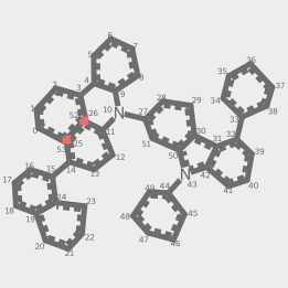 c1ccc(-c2ccccc2N(c2ccc(-c3cccc4ccccc34)cc2)c2ccc3c4c(-c5ccccc5)cccc4n(-c4ccccc4)c3c2)cc1